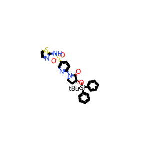 CC(C)(C)[Si](O[C@H]1CCN(c2ccc(S(=O)(=O)Nc3nccs3)cn2)C1=O)(c1ccccc1)c1ccccc1